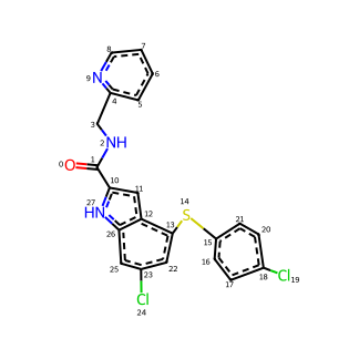 O=C(NCc1ccccn1)c1cc2c(Sc3ccc(Cl)cc3)cc(Cl)cc2[nH]1